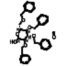 C=O.O[C@H]1O[C@H](COCc2ccccc2)[C@H](OCc2ccccc2)[C@H](OCc2ccccc2)[C@H]1OCc1ccccc1